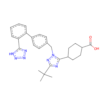 CC(C)(C)c1nc(C2CCC(C(=O)O)CC2)n(Cc2ccc(-c3ccccc3-c3nnn[nH]3)cc2)n1